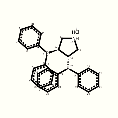 Cl.c1ccc(P(c2ccccc2)[C@H]2CNC[C@@H]2P(c2ccccc2)c2ccccc2)cc1